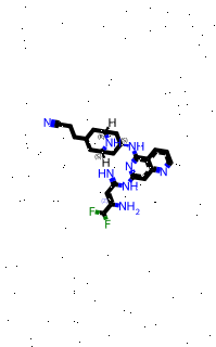 N#CCCC1C[C@@H]2C[C@@H](Nc3nc(NC(=N)/C=C(\N)C(F)F)cc4ncccc34)C[C@H](C1)N2